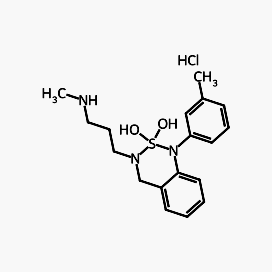 CNCCCN1Cc2ccccc2N(c2cccc(C)c2)S1(O)O.Cl